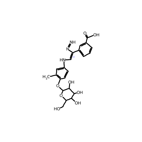 Cc1cc(N/C=C(\N=N)c2cccc(C(=O)O)c2)ccc1OC1OC(CO)C(O)C(O)C1O